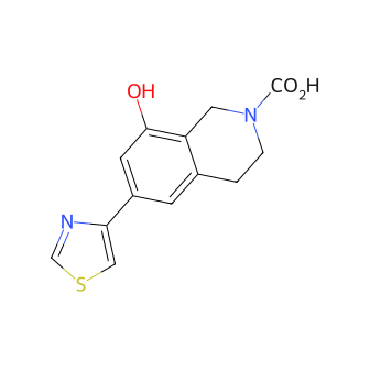 O=C(O)N1CCc2cc(-c3cscn3)cc(O)c2C1